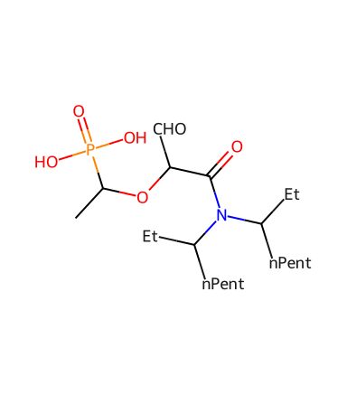 CCCCCC(CC)N(C(=O)C(C=O)OC(C)P(=O)(O)O)C(CC)CCCCC